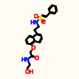 O=C(COc1cccc2c(CCNS(=O)(=O)C=Cc3ccccc3)cccc12)NCCO